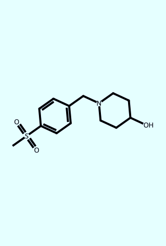 CS(=O)(=O)c1ccc(CN2CCC(O)CC2)cc1